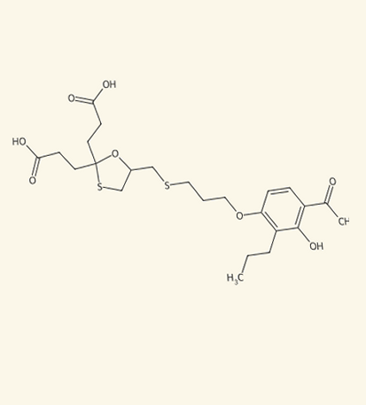 CCCc1c(OCCCSCC2CSC(CCC(=O)O)(CCC(=O)O)O2)ccc(C(C)=O)c1O